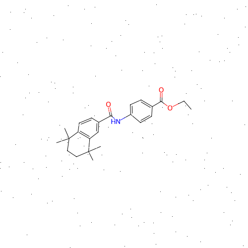 CCOC(=O)c1ccc(NC(=O)c2ccc3c(c2)C(C)(C)CCC3(C)C)cc1